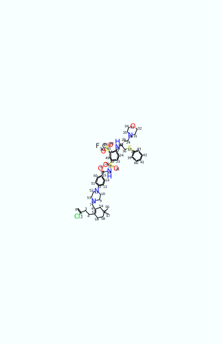 C=C(Cl)CCC1=C(CN2CCN(c3ccc(C(=O)NS(=O)(=O)c4ccc(N[C@H](CCN5CCOCC5)CSc5ccccc5)c(S(=O)(=O)C(F)(F)F)c4)cc3)CC2)CC(C)(C)CC1